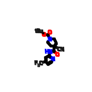 CC(C)(C)OC(=O)N1CCC(C#N)(C(=O)Nc2cc(C(F)(F)F)ccn2)CC1